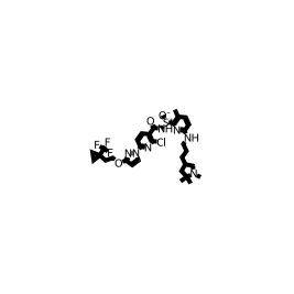 Cc1ccc(NCCCC2CN(C)C(C)(C)C2)nc1[S+]([O-])NC(=O)c1ccc(-n2ccc(OCCC3(C(F)(F)F)CC3)n2)nc1Cl